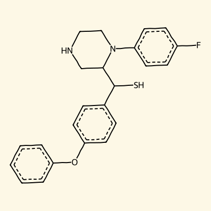 Fc1ccc(N2CCNCC2C(S)c2ccc(Oc3ccccc3)cc2)cc1